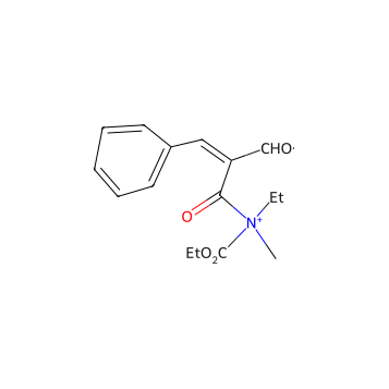 CCOC(=O)[N+](C)(CC)C(=O)C([C]=O)=Cc1ccccc1